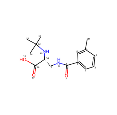 Cc1cccc(C(=O)NC[C@@H](NC(C)(C)C)C(=O)O)c1